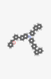 c1cc(-c2ccc3cc(N(c4ccc(-c5ccc(-c6cccc7ccccc67)cc5)cc4)c4ccc(-c5ccc6ccccc6c5)cc4)ccc3c2)cc(-c2cc3ccccc3o2)c1